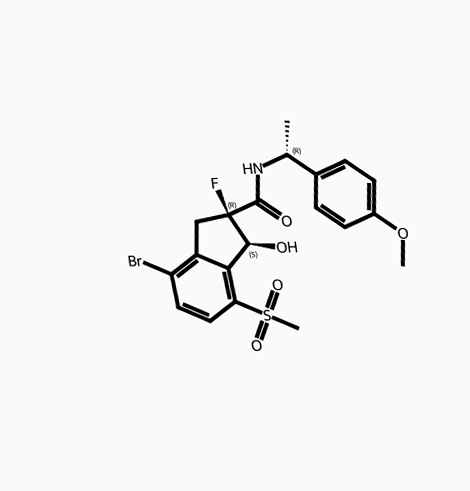 COc1ccc([C@@H](C)NC(=O)[C@@]2(F)Cc3c(Br)ccc(S(C)(=O)=O)c3[C@@H]2O)cc1